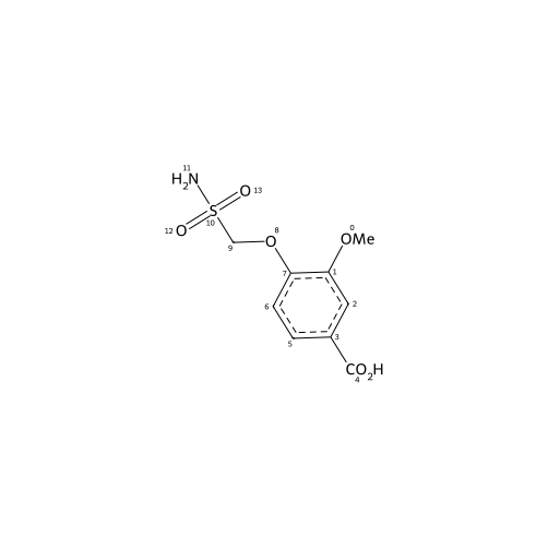 COc1cc(C(=O)O)ccc1OCS(N)(=O)=O